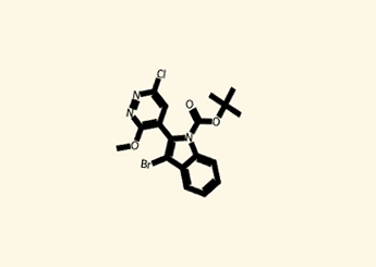 COc1nnc(Cl)cc1-c1c(Br)c2ccccc2n1C(=O)OC(C)(C)C